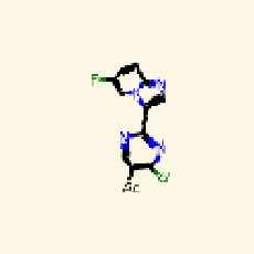 CC(=O)c1cnc(-c2cnc3ccc(F)cn23)nc1Cl